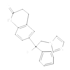 O=C1CCc2cc(C(O)(Cn3ccnc3)c3ccccc3)ccc2N1